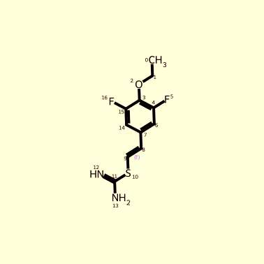 CCOc1c(F)cc(/C=C/SC(=N)N)cc1F